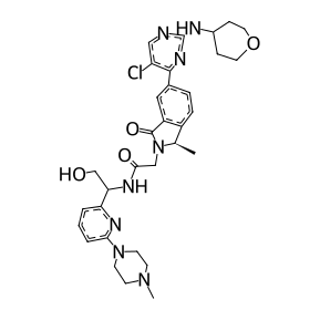 C[C@@H]1c2ccc(-c3nc(NC4CCOCC4)ncc3Cl)cc2C(=O)N1CC(=O)NC(CO)c1cccc(N2CCN(C)CC2)n1